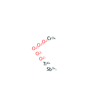 [Cr+3].[O-2].[O-2].[O-2].[O-2].[O-2].[Sb+3].[Ti+4]